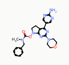 CN(Cc1ccccc1)C(=O)ON1CCc2c(-c3cnc(N)nc3)nc(N3CCOCC3)nc21